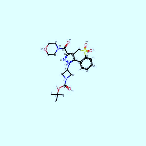 CC(C)(C)OC(=O)N1CC(n2nc(C(=O)N3CCOCC3)c3c2-c2ccccc2S(=O)(=O)C3)C1